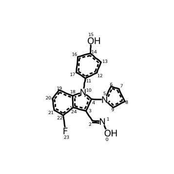 ON=Cc1c(-n2cccc2)n(-c2ccc(O)cc2)c2cccc(F)c12